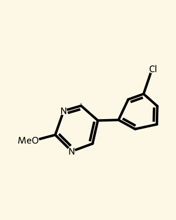 COc1n[c]c(-c2cccc(Cl)c2)cn1